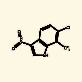 O=[SH](=O)c1c[nH]c2c(C(F)(F)F)c(Cl)ccc12